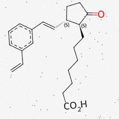 C=Cc1cccc(C=C[C@@H]2CCC(=O)[C@H]2CCCCCCC(=O)O)c1